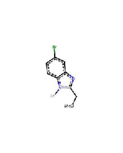 CCn1c(COC)nc2cc(Br)ccc21